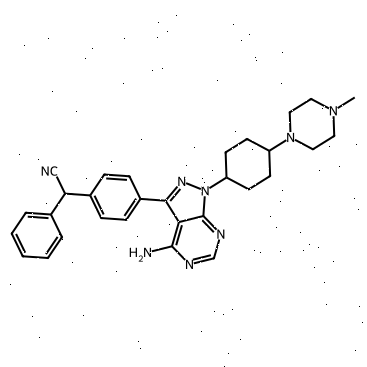 CN1CCN(C2CCC(n3nc(-c4ccc(C(C#N)c5ccccc5)cc4)c4c(N)ncnc43)CC2)CC1